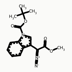 COC(=O)C(=[N+]=[N-])c1cn(C(=O)OC(C)(C)C)c2ccccc12